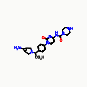 NC1C2CN(C(C(=O)O)c3ccc(-n4ccc(NC(=O)N5CCNCC5)nc4=O)cc3)CC12